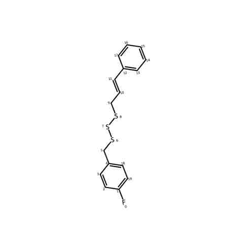 Fc1ccc(CSSSC/C=C/c2ccccc2)cc1